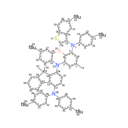 Cc1cc2c3c(c1)N(c1ccc(C(C)(C)C)cc1)c1c(sc4ccc(C(C)(C)C)cc14)B3c1cc(C(C)(C)C)ccc1N2c1ccc(N(c2ccc(C(C)(C)C)cc2)c2ccc(C(C)(C)C)cc2)c2c1C(C)(C)c1ccccc1-2